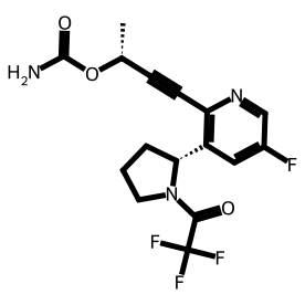 C[C@H](C#Cc1ncc(F)cc1[C@H]1CCCN1C(=O)C(F)(F)F)OC(N)=O